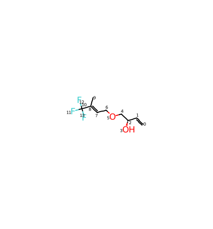 C=C[C@@H](O)COC/C=C(\C)C(F)(F)F